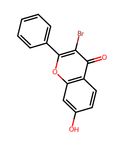 O=c1c(Br)c(-c2ccccc2)oc2cc(O)ccc12